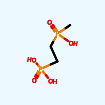 CP(=O)(O)CCP(=O)(O)O